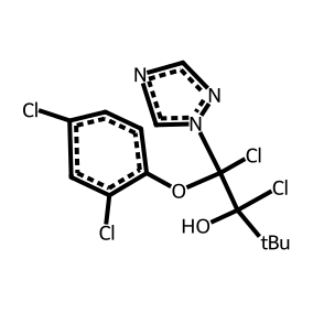 CC(C)(C)C(O)(Cl)C(Cl)(Oc1ccc(Cl)cc1Cl)n1cncn1